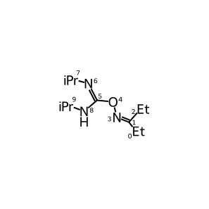 CCC(CC)=NOC(=NC(C)C)NC(C)C